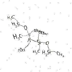 CCCCCCC[CH2][Al]([Si](C)(O[SiH2]C)C(C)(C)C)[Si](C)(O[SiH2]C)C(C)(C)C